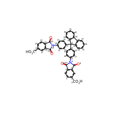 O=C(O)c1ccc2c(c1)C(=O)N(c1ccc(C3(c4ccc(N5C(=O)c6ccc(C(=O)O)cc6C5=O)cc4)c4ccccc4-c4ccccc43)cc1)C2=O